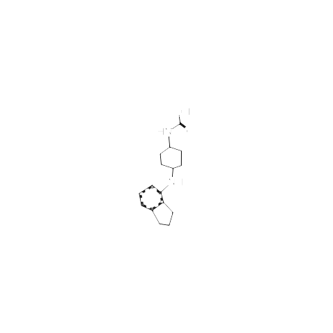 O=C(O)NC1CCC(Nc2cccc3c2CCC3)CC1